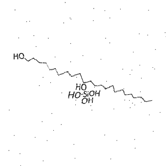 CCCCCCCCCCCCCCCCCCCCCCCCO.O[Si](O)(O)O